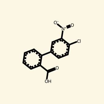 O=C(O)c1ccccc1-c1ccc(Cl)c([N+](=O)[O-])c1